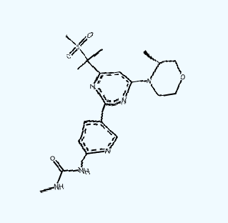 CNC(=O)Nc1ccc(-c2nc(N3CCOC[C@@H]3C)cc(C(C)(C)S(C)(=O)=O)n2)cn1